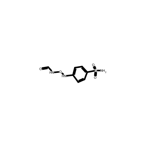 NS(=O)(=O)c1ccc(NONC=O)cc1